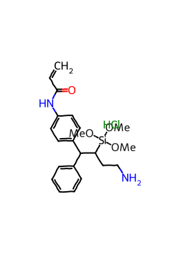 C=CC(=O)Nc1ccc(C(c2ccccc2)C(CCN)[Si](OC)(OC)OC)cc1.Cl